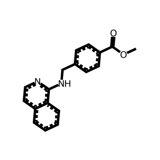 COC(=O)c1ccc(CNc2nccc3ccccc23)cc1